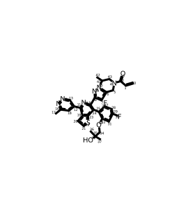 C=CC(=O)N1Cc2cc(-c3nc(-c4cnnc(C)c4)c4ccsc4c3-c3c(F)cc(F)cc3OCC(C)(C)O)nn2C(C)C1